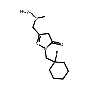 CN(CC1=NN(CC2(F)CCCCC2)C(=O)C1)C(=O)O